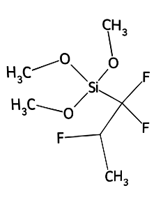 CO[Si](OC)(OC)C(F)(F)C(C)F